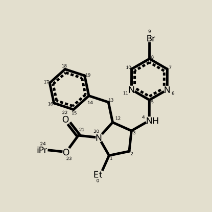 CCC1CC(Nc2ncc(Br)cn2)C(Cc2ccccc2)N1C(=O)OC(C)C